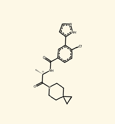 C[C@H](NC(=O)c1ccc(Cl)c(-c2ccn[nH]2)c1)C(=O)N1CCC2(CC1)CC2